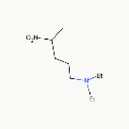 CCN(CC)CCCC(C)[N+](=O)[O-]